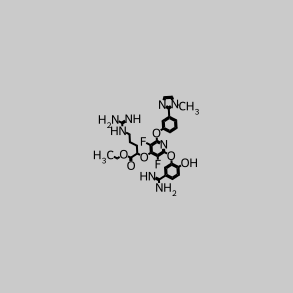 CCOC(=O)C(CCCNC(=N)N)Oc1c(F)c(Oc2cccc(-c3nccn3C)c2)nc(Oc2cc(C(=N)N)ccc2O)c1F